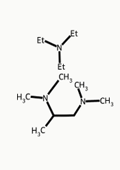 CC(CN(C)C)N(C)C.CCN(CC)CC